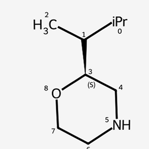 CC(C)C(C)[C@H]1CNCCO1